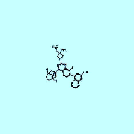 CCC1(N)CN(c2nc(N3C[C@H]4CC[C@@H](C3)N4)c3ccc(-c4cc(O)cc5ccccc45)c(F)c3n2)C1